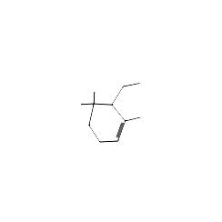 CC1=CCCC(C)(C)C1CI